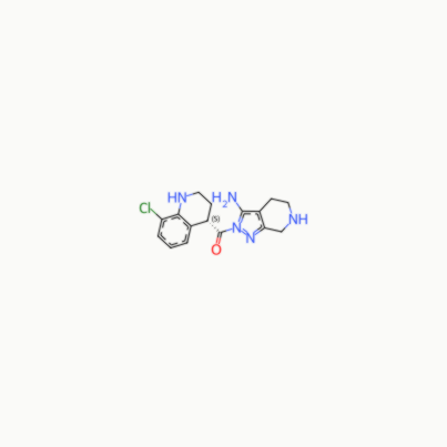 Nc1c2c(nn1C(=O)[C@H]1CCNc3c(Cl)cccc31)CNCC2